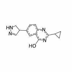 Oc1nc(C2CC2)nc2ccc(C3C=NNC3)cc12